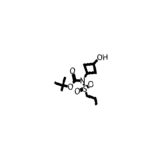 CCCS(=O)(=O)N(C(=O)OC(C)(C)C)C1CC(O)C1